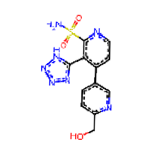 NS(=O)(=O)c1nccc(-c2ccc(CO)nc2)c1-c1nnn[nH]1